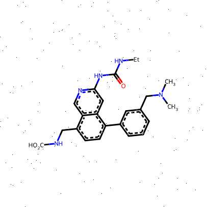 CCNC(=O)Nc1cc2c(-c3cccc(CN(C)C)c3)ccc(CNC(=O)O)c2cn1